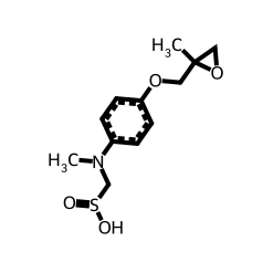 CN(CS(=O)O)c1ccc(OCC2(C)CO2)cc1